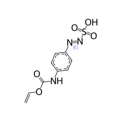 C=COC(=O)Nc1ccc(/N=N/S(=O)(=O)O)cc1